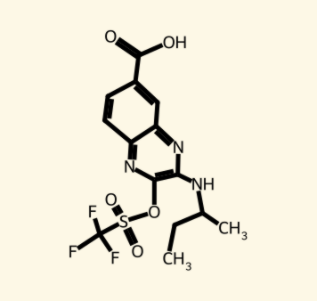 CCC(C)Nc1nc2cc(C(=O)O)ccc2nc1OS(=O)(=O)C(F)(F)F